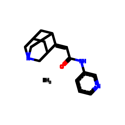 B.O=C(C=C1C2CC3CC1CN(C3)C2)Nc1cccnc1